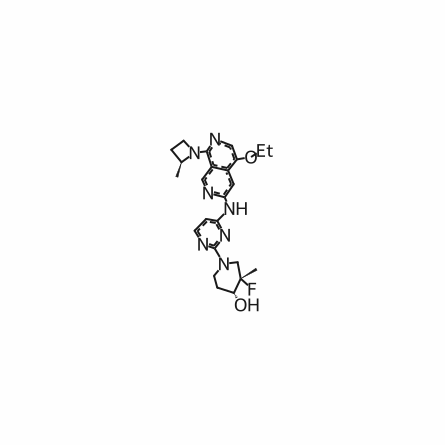 CCOc1cnc(N2CC[C@@H]2C)c2cnc(Nc3ccnc(N4CC[C@@H](O)[C@@](C)(F)C4)n3)cc12